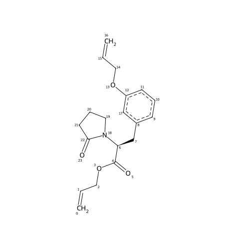 C=CCOC(=O)[C@H](Cc1cccc(OCC=C)c1)N1CCCC1=O